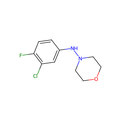 Fc1ccc(NN2C[CH]OCC2)cc1Cl